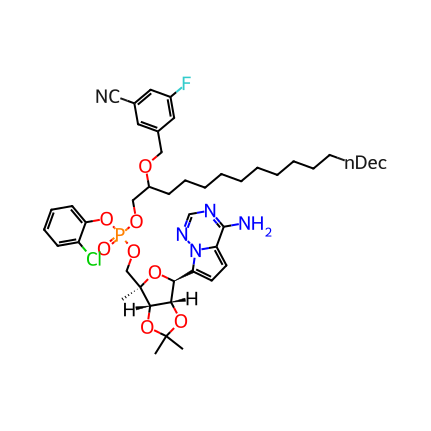 CCCCCCCCCCCCCCCCCCCCC(COP(=O)(OC[C@@]1(C)O[C@@H](c2ccc3c(N)ncnn23)[C@@H]2OC(C)(C)O[C@@H]21)Oc1ccccc1Cl)OCc1cc(F)cc(C#N)c1